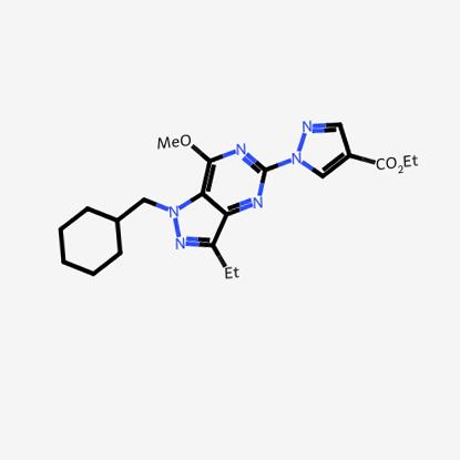 CCOC(=O)c1cnn(-c2nc(OC)c3c(n2)c(CC)nn3CC2CCCCC2)c1